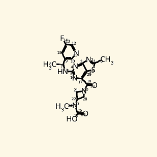 Cc1nc2nc(N[C@@H](C)c3cncc(F)c3)nc(C(=O)N3CC(N(C)C(=O)O)C3)c2s1